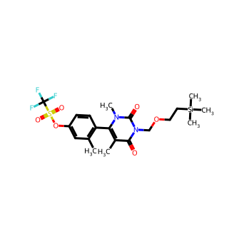 Cc1cc(OS(=O)(=O)C(F)(F)F)ccc1-c1c(C)c(=O)n(COCC[Si](C)(C)C)c(=O)n1C